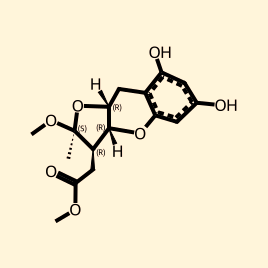 COC(=O)C[C@@H]1[C@H]2Oc3cc(O)cc(O)c3C[C@H]2O[C@]1(C)OC